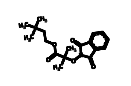 CC(C)(ON1C(=O)c2ccccc2C1=O)C(=O)OCC[Si](C)(C)C